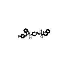 O=C(NCCN1CCC(Nc2nc3ccccc3n2Cc2ccc(F)cc2)CC1)c1ccc2ccccc2n1